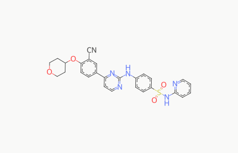 N#Cc1cc(-c2ccnc(Nc3ccc(S(=O)(=O)Nc4ccccn4)cc3)n2)ccc1OC1CCOCC1